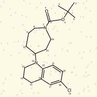 CC(C)(C)OC(=O)N1CCCC(N2CCCc3cc(Cl)ccc32)CC1